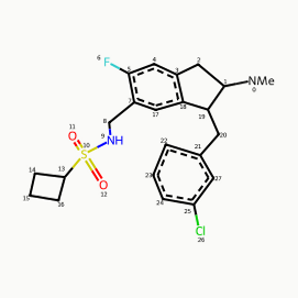 CNC1Cc2cc(F)c(CNS(=O)(=O)C3CCC3)cc2C1Cc1cccc(Cl)c1